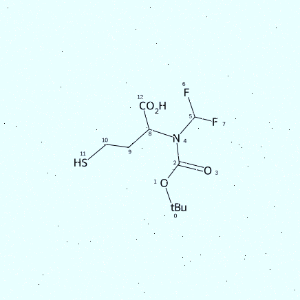 CC(C)(C)OC(=O)N(C(F)F)C(CCS)C(=O)O